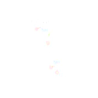 COCC(=O)NCCCCCOCC(F)CNC(=O)C(C)C